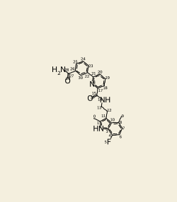 Cc1[nH]c2c(F)ccc(C)c2c1CCNC(=O)c1cccc(-c2cccc(C(N)=O)c2)n1